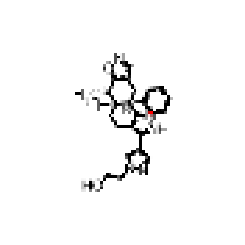 C[C@@H]1c2oncc2C[C@]2(c3ccccc3)c3n[nH]c(-c4cnn(CCO)c4)c3CC[C@@H]12